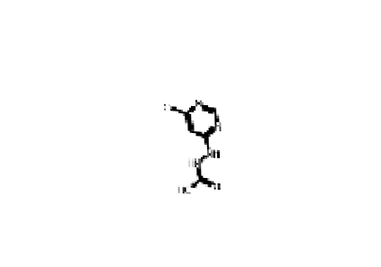 O=C(O)NNc1cc(Cl)ncn1